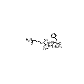 CNC(=O)[C@H](Cc1ccccc1)NC(=O)[C@H](CC(C)C)NC(=O)C(S)CCCCC(N)=O